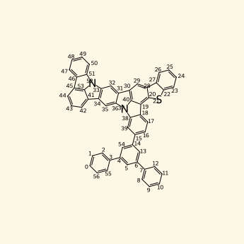 c1ccc(-c2cc(-c3ccccc3)cc(-c3ccc4c5c6sc7ccccc7c6cc6c7cc8c(cc7n(c4c3)c65)c3cccc4c5ccccc5n8c43)c2)cc1